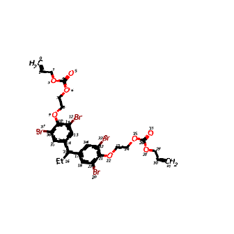 C=CCOC(=O)OCCOc1c(Br)cc(C(CC)c2cc(Br)c(OCCOC(=O)OCC=C)c(Br)c2)cc1Br